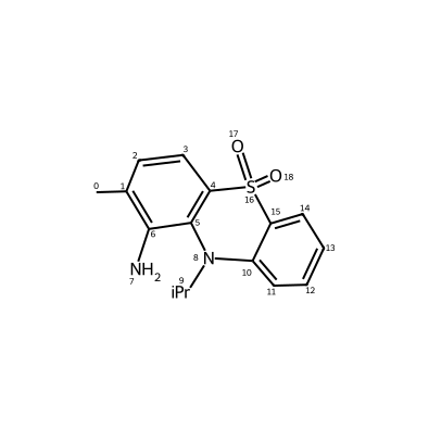 Cc1ccc2c(c1N)N(C(C)C)c1ccccc1S2(=O)=O